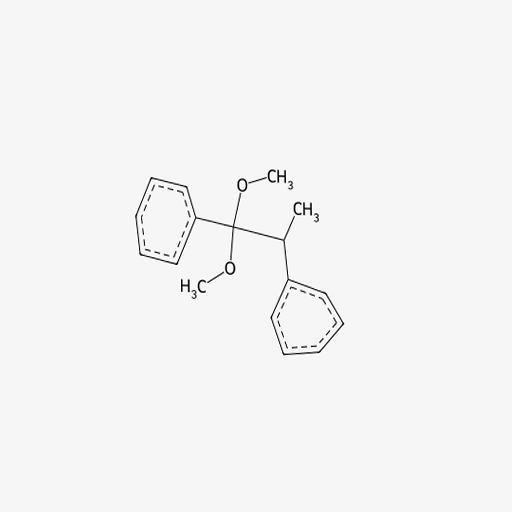 COC(OC)(c1ccccc1)C(C)c1ccccc1